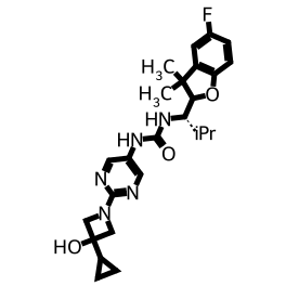 CC(C)[C@H](NC(=O)Nc1cnc(N2CC(O)(C3CC3)C2)nc1)C1Oc2ccc(F)cc2C1(C)C